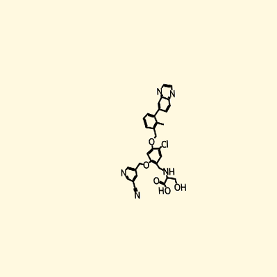 Cc1c(COc2cc(OCc3cncc(C#N)c3)c(CNC(CO)C(=O)O)cc2Cl)cccc1-c1ccc2nccnc2c1